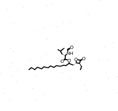 CCCCCCCCCCCCCC(C[C@@H]1OC(=O)[C@H]1CC)OC(=O)[C@H](CC(C)C)NC=O